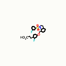 O=C(O)CCc1ccc(OCc2cccc3c2N(S(=O)(=O)c2cccc(F)c2)CC3)cc1F